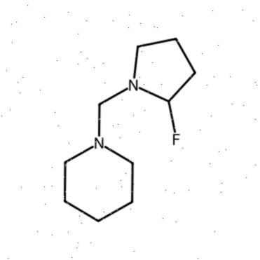 FC1CCCN1CN1CCCCC1